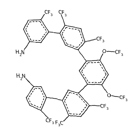 Nc1ccc(C(F)(F)F)c(-c2cc(-c3cc(-c4cc(-c5cc(N)ccc5C(F)(F)F)c(C(F)(F)F)cc4C(F)(F)F)c(OC(F)(F)F)cc3OC(F)(F)F)c(C(F)(F)F)cc2C(F)(F)F)c1